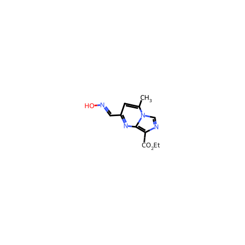 CCOC(=O)c1ncn2c(C)cc(C=NO)nc12